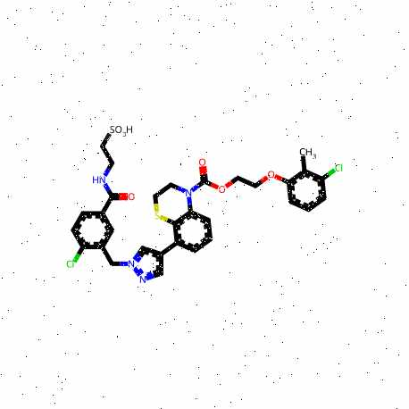 Cc1c(Cl)cccc1OCCOC(=O)N1CCSc2c(-c3cnn(Cc4cc(C(=O)NCCS(=O)(=O)O)ccc4Cl)c3)cccc21